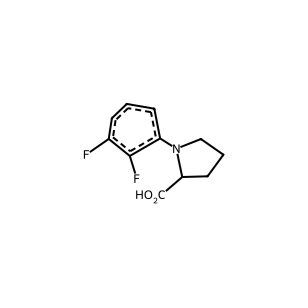 O=C(O)C1CCCN1c1cccc(F)c1F